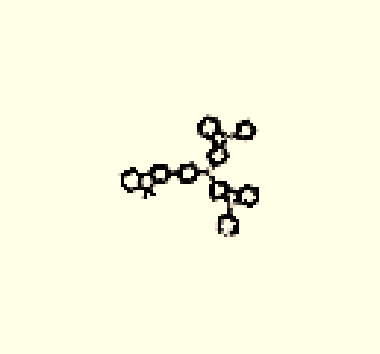 CC1(C)C2=C(C=CCC2)c2ccc(-c3ccc(N(c4ccc5c(c4)c4ccccc4n5-c4ccccc4)c4ccc5c(c4)c4ccccc4n5-c4ccccc4)cc3)cc21